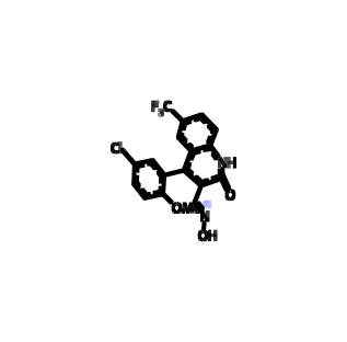 COc1ccc(Cl)cc1-c1c(/C=N/O)c(=O)[nH]c2ccc(C(F)(F)F)cc12